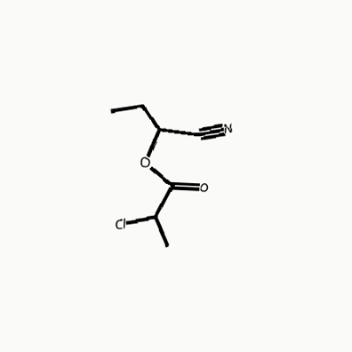 CCC(C#N)OC(=O)C(C)Cl